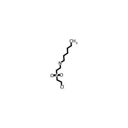 CCCCCC[N]CCS(=O)(=O)CCCl